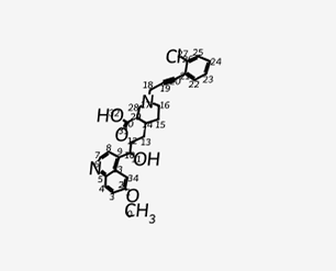 COc1ccc2nccc(C(O)CC[C@@H]3CCN(CC#Cc4ccccc4Cl)C[C@@H]3C(=O)O)c2c1